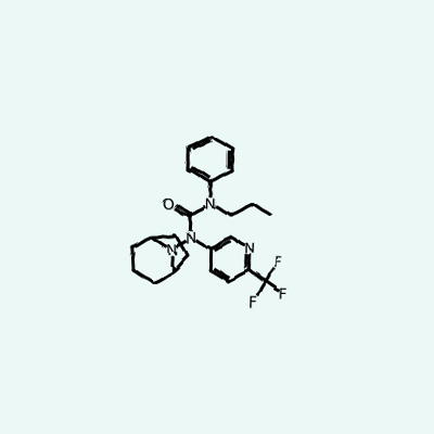 CCCN(C(=O)N(c1ccc(C(F)(F)F)nc1)N1C2CCCC1CC2)c1ccccc1